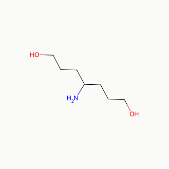 NC(CCCO)CCCO